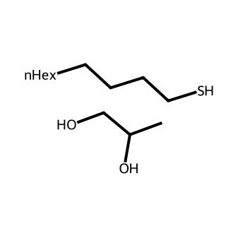 CC(O)CO.CCCCCCCCCCS